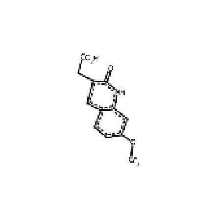 O=C(O)Cc1cc2ccc(OC(F)(F)F)cc2[nH]c1=O